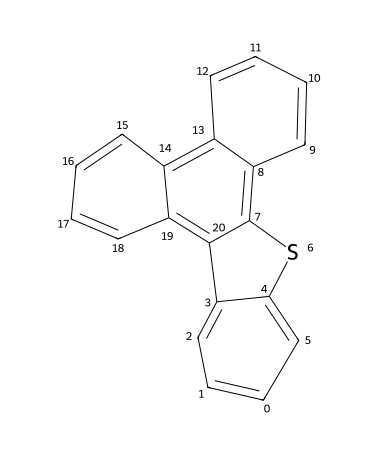 c1ccc2c(c1)sc1c3ccccc3c3ccccc3c21